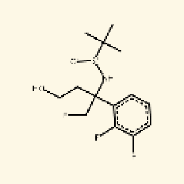 CC(C)(C)[S+]([O-])NC(CF)(CCO)c1cccc(F)c1F